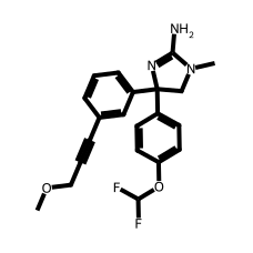 COCC#Cc1cccc(C2(c3ccc(OC(F)F)cc3)CN(C)C(N)=N2)c1